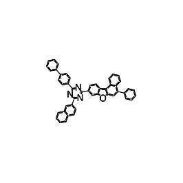 c1ccc(-c2ccc(-c3nc(-c4ccc5ccccc5c4)nc(-c4ccc5c(c4)oc4cc(-c6ccccc6)c6ccccc6c45)n3)cc2)cc1